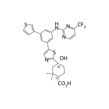 CC1(C)C[C@@](O)(c2ncc(-c3cc(Nc4nccc(C(F)(F)F)n4)cc(-c4ccsc4)c3)s2)CC[C@@H]1C(=O)O